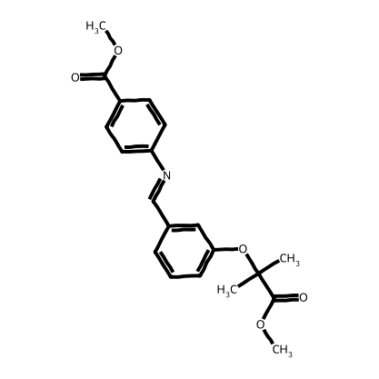 COC(=O)c1ccc(/N=C/c2cccc(OC(C)(C)C(=O)OC)c2)cc1